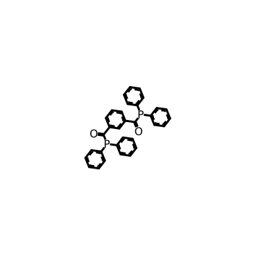 O=C(c1cccc(C(=O)P(c2ccccc2)c2ccccc2)c1)P(c1ccccc1)c1ccccc1